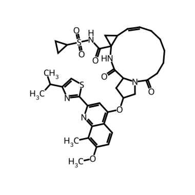 COc1ccc2c(OC3CC4C(=O)NC5(C(=O)NS(=O)(=O)C6CC6)CC5/C=C\CCCCCC(=O)N4C3)cc(-c3nc(C(C)C)cs3)nc2c1C